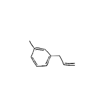 C=CCc1cccc(C)c1